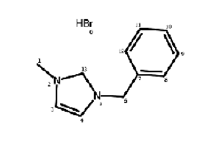 Br.CN1C=CN(Cc2ccccc2)C1